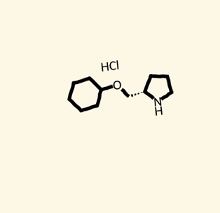 C1CCC(OC[C@@H]2CCCN2)CC1.Cl